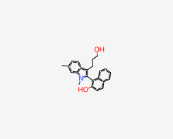 Cc1ccc2c(CCCO)c(-c3c(O)ccc4ccccc34)n(C)c2c1